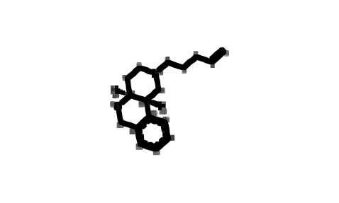 C=CCCCN1CC[C@@H]2OCc3ccccc3[C@H]2C1